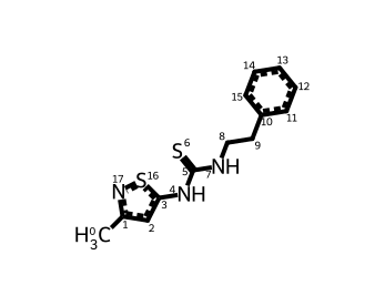 Cc1cc(NC(=S)NCCc2ccccc2)sn1